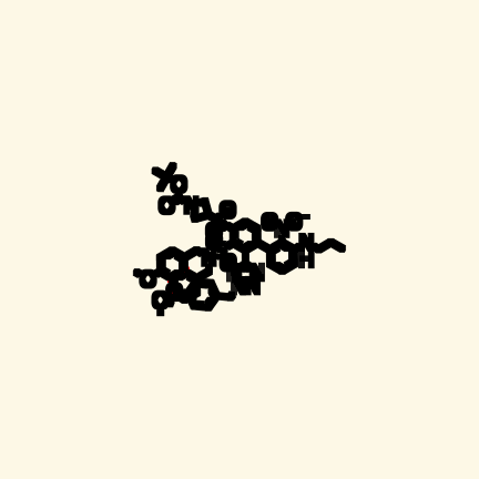 CCCNc1cccc(-c2ccc(S(=O)(=O)C3CN(C(=O)OC(C)(C)C)C3)c(S(=O)(=O)N(Cc3ccc(OC)cc3)Cc3ccc(OC)cc3)c2-c2nnn(Cc3ccc(OC)cc3)n2)c1[N+](=O)[O-]